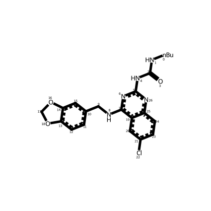 CCCCNC(=O)Nc1nc(NCc2ccc3c(c2)OCO3)c2cc(Cl)ccc2n1